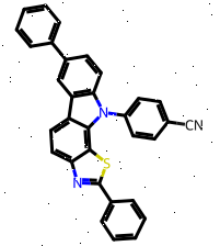 N#Cc1ccc(-n2c3ccc(-c4ccccc4)cc3c3ccc4nc(-c5ccccc5)sc4c32)cc1